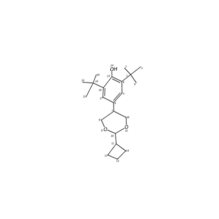 CC(C)(C)c1cc(C2COC(C3CCC3)OC2)cc(C(C)(C)C)c1O